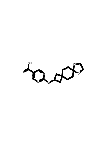 O=C(O)c1cnc(OC2CC3(CCC4(CC3)OCCO4)C2)nc1